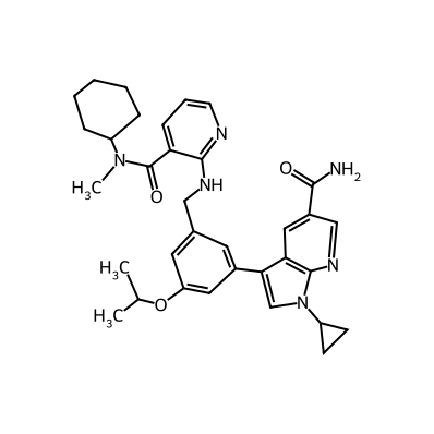 CC(C)Oc1cc(CNc2ncccc2C(=O)N(C)C2CCCCC2)cc(-c2cn(C3CC3)c3ncc(C(N)=O)cc23)c1